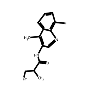 Cc1c(NC(=O)C(C)CC(C)C)cnc2c(F)cccc12